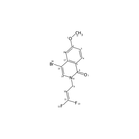 COc1ccc2c(=O)n(CC=C(F)F)cc(Br)c2c1